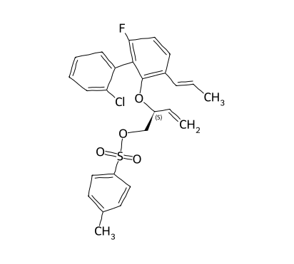 C=C[C@@H](COS(=O)(=O)c1ccc(C)cc1)Oc1c(C=CC)ccc(F)c1-c1ccccc1Cl